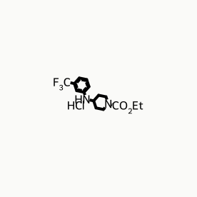 CCOC(=O)N1CCC(Nc2cccc(C(F)(F)F)c2)CC1.Cl